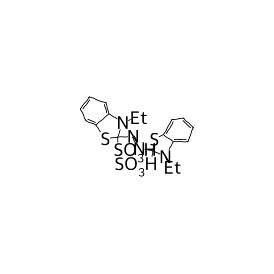 CCN1c2ccccc2SC1(N=NC1(S(=O)(=O)O)Sc2ccccc2N1CC)S(=O)(=O)O